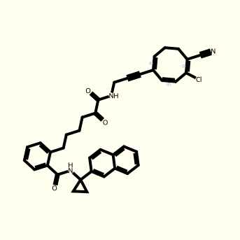 N#C/C1=C(Cl)/C=C\C(C#CCNC(=O)C(=O)CCCCc2ccccc2C(=O)NC2(c3ccc4ccccc4c3)CC2)=C/CC1